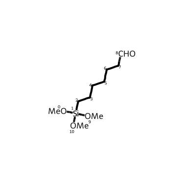 CO[Si](CCCCCCC=O)(OC)OC